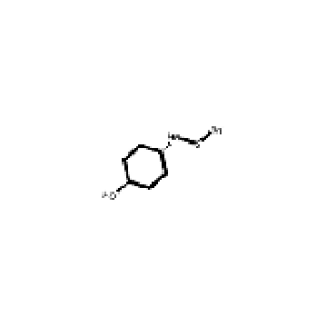 O[C@H]1CC[C@H](NSS)CC1